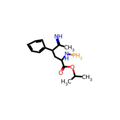 CC(=N)C(CC(NP)C(=O)OC(C)C)c1ccccc1